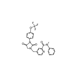 CN(C(=O)c1cc(CN2CC(=O)N(c3ccc(OC(F)(F)F)cc3)C2=O)ccn1)c1ccccc1